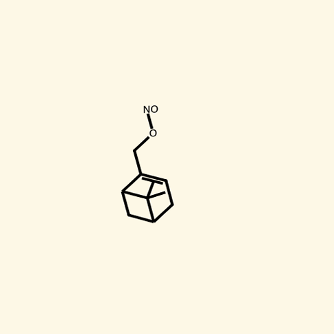 CC1(C)C2CC=C(CON=O)C1C2